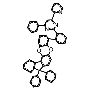 c1ccc(-c2cc(-c3ccccn3)nc(-c3ccccc3-c3cccc4c3Oc3ccc5c(c3O4)-c3ccccc3C5(c3ccccc3)c3ccccc3)n2)cc1